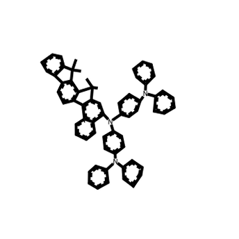 CC1(C)c2ccccc2-c2ccc3c(c21)C(C)(C)c1cc(N(c2ccc(N(c4ccccc4)c4ccccc4)cc2)c2ccc(N(c4ccccc4)c4ccccc4)cc2)c2ccccc2c1-3